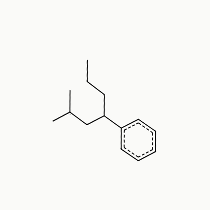 CCCC(C[C](C)C)c1ccccc1